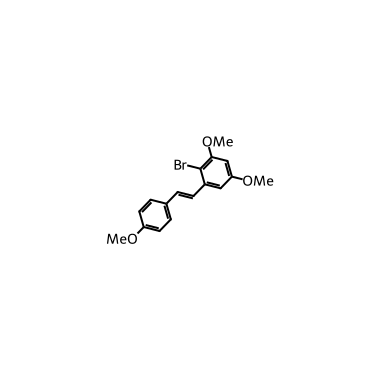 COc1ccc(/C=C/c2cc(OC)cc(OC)c2Br)cc1